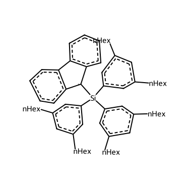 CCCCCCc1cc(CCCCCC)cc([Si]([C]2c3ccccc3-c3ccccc32)(c2cc(CCCCCC)cc(CCCCCC)c2)c2cc(CCCCCC)cc(CCCCCC)c2)c1